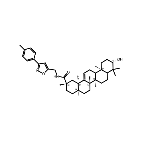 Cc1ccc(-c2cc(CNC(=O)[C@@]3(C)CC[C@]4(C)CC[C@]5(C)C(=CCC6[C@@]7(C)CC[C@H](O)C(C)(C)C7CC[C@]65C)[C@@H]4C3)on2)cc1